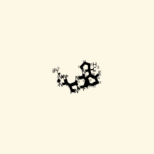 CC(C)n1cnc(-c2cnn3ccc(N4CCC[C@]4(C)c4cc(F)ccc4F)nc23)n1